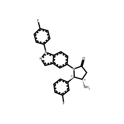 N[C@H]1CC(=O)N(c2ccc3c(cnn3-c3ccc(F)cc3)c2)[C@@H]1c1cccc(F)c1